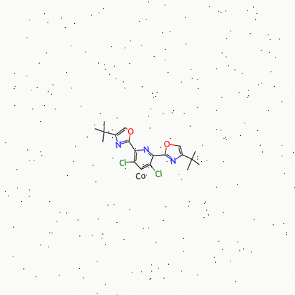 CC(C)(C)c1coc(-c2nc(-c3nc(C(C)(C)C)co3)c(Cl)cc2Cl)n1.[Co]